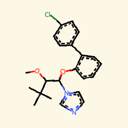 COC(C(Oc1ccccc1-c1ccc(Cl)cc1)n1ccnc1)C(C)(C)C